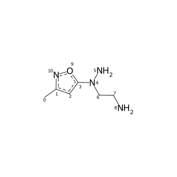 Cc1cc(N(N)CCN)on1